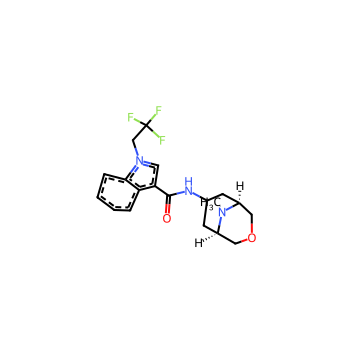 CN1[C@@H]2COC[C@H]1CC(NC(=O)c1cn(CC(F)(F)F)c3ccccc13)C2